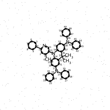 Cc1cc(-c2ccccc2)ncc1N1c2ccc(N(c3ccccc3)c3ccccc3)cc2C(C)(C)c2cc(N(c3ccccc3)c3ccccc3)ccc21